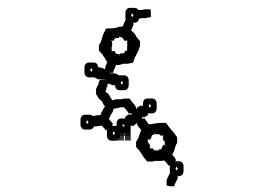 COc1ccc(S(=O)(=O)CC(CS(=O)(=O)c2ccc(OC)cc2)C(=O)O)cc1